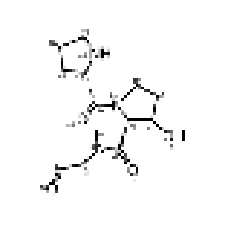 O=[C]CNC(=O)[C@@H]1C(O)CCN1C(=O)[C@@H]1CCCN1